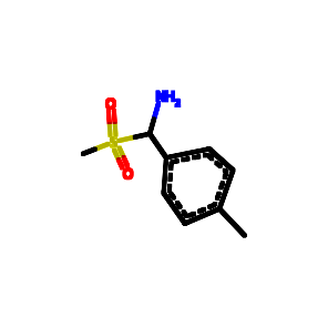 Cc1ccc(C(N)S(C)(=O)=O)cc1